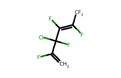 C=C(F)C(F)(Cl)C(F)=C(F)C(F)(F)F